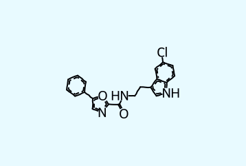 O=C(NCCc1c[nH]c2ccc(Cl)cc12)c1ncc(-c2ccccc2)o1